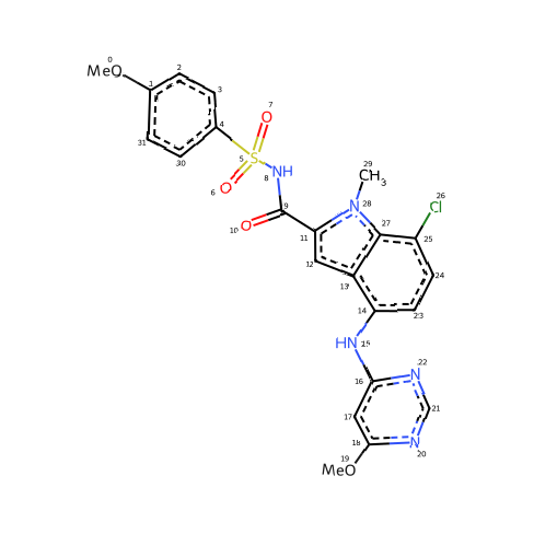 COc1ccc(S(=O)(=O)NC(=O)c2cc3c(Nc4cc(OC)ncn4)ccc(Cl)c3n2C)cc1